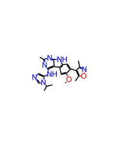 COc1cc2c(cc1-c1c(C)noc1C)[nH]c1nc(C)nc(Nc3cncn3C(C)C)c12